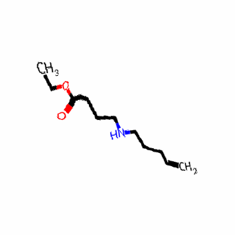 C=CCCCNCCCC(=O)OCC